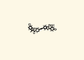 Cc1c(C(=O)N2CCC(C#Cc3ccc4c(c3)CN(C3CCC(=O)NC3=O)C4=O)CC2)[nH]c2cc(Cl)ccc12